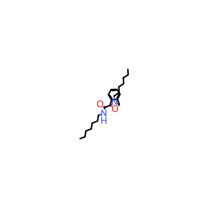 CCCCCCCNC(=O)C12OC(c3ccccc31)N2CCCCCCC